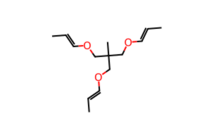 C/C=C/OCC(C)(CO/C=C/C)CO/C=C/C